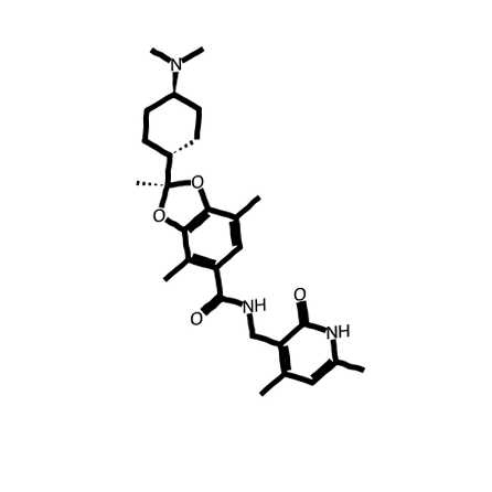 Cc1cc(C)c(CNC(=O)c2cc(C)c3c(c2C)O[C@@](C)([C@H]2CC[C@H](N(C)C)CC2)O3)c(=O)[nH]1